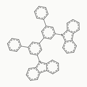 c1ccc(-c2cc(-c3cc(-c4ccccc4)cc(-n4c5ccccc5c5ccccc54)c3)cc(-n3c4ccccc4c4ccccc43)c2)cc1